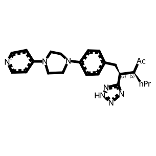 CCC[C@H](C(C)=O)[C@H](Cc1ccc(N2CCN(c3ccncc3)CC2)cc1)c1nn[nH]n1